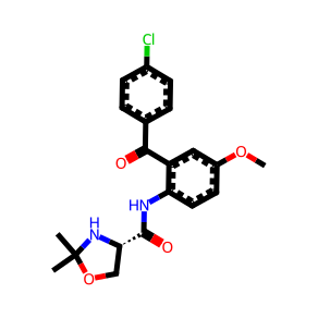 COc1ccc(NC(=O)[C@@H]2COC(C)(C)N2)c(C(=O)c2ccc(Cl)cc2)c1